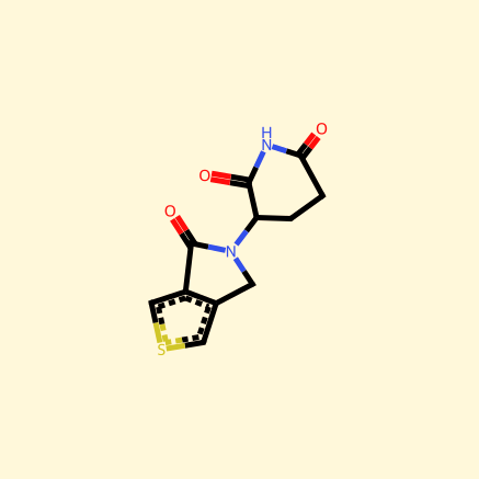 O=C1CCC(N2Cc3cscc3C2=O)C(=O)N1